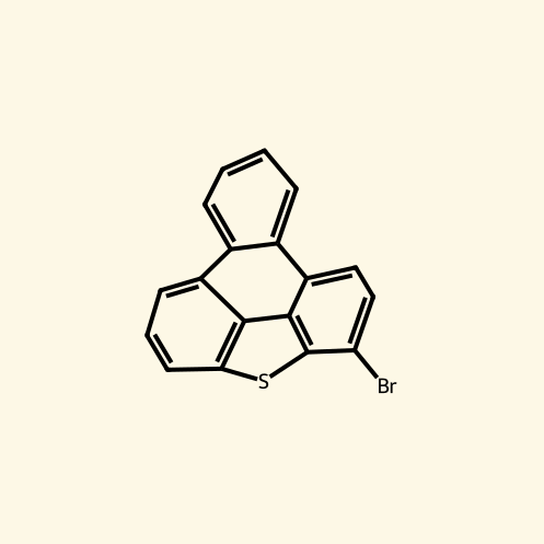 Brc1ccc2c3ccccc3c3cccc4sc1c2c43